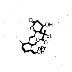 CCC[C@@H](OC(=O)C(C)(C)CC)[C@@H]1/C(=C\O)C=C[C@@H](C)[C@H]1CC[C@@H]1C[C@H](O)CC(=O)O1